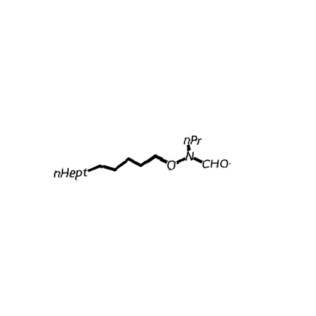 CCCCCCCCCCCCON([C]=O)CCC